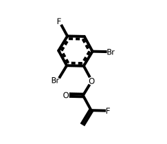 C=C(F)C(=O)Oc1c(Br)cc(F)cc1Br